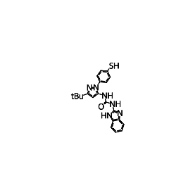 CC(C)(C)c1cc(NC(=O)Nc2nc3ccccc3[nH]2)n(-c2ccc(S)cc2)n1